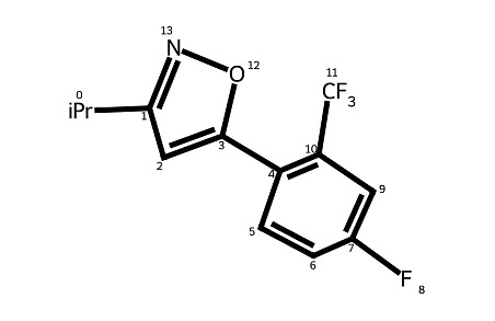 CC(C)c1cc(-c2ccc(F)cc2C(F)(F)F)on1